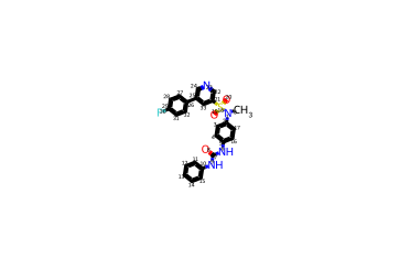 CN(c1ccc(NC(=O)Nc2ccccc2)cc1)S(=O)(=O)c1cncc(-c2ccc(F)cc2)c1